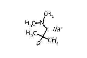 CN(C)CC(C)(C)[O-].[Na+]